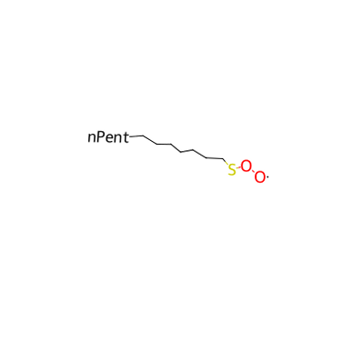 CCCCCCCCCCCCSO[O]